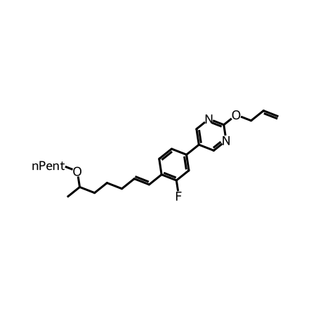 C=CCOc1ncc(-c2ccc(C=CCCCC(C)OCCCCC)c(F)c2)cn1